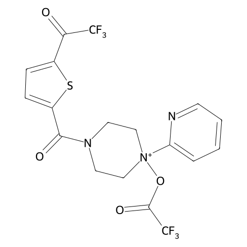 O=C(c1ccc(C(=O)C(F)(F)F)s1)N1CC[N+](OC(=O)C(F)(F)F)(c2ccccn2)CC1